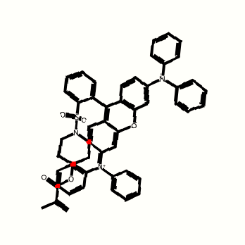 C=C(C)C(=O)OC1CCN(S(=O)(=O)c2ccccc2-c2c3ccc(=[N+](c4ccccc4)c4ccccc4)cc-3oc3cc(N(c4ccccc4)c4ccccc4)ccc23)CC1